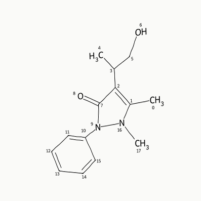 Cc1c(C(C)CO)c(=O)n(-c2ccccc2)n1C